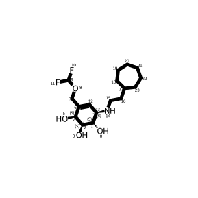 O[C@@H]1[C@@H](O)[C@@H](O)C(COC(F)F)=C[C@H]1NCCC1CCCCCC1